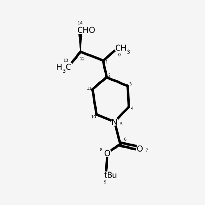 CC(C1CCN(C(=O)OC(C)(C)C)CC1)[C@@H](C)C=O